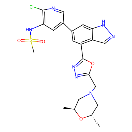 C[C@H]1CN(Cc2nnc(-c3cc(-c4cnc(Cl)c(NS(C)(=O)=O)c4)cc4[nH]ncc34)o2)C[C@H](C)O1